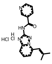 CC(C)=Cc1cccc2nc(NC(=O)c3cccnc3)nn12.Cl.Cl